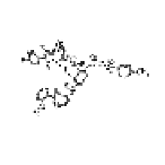 COc1ccccc1-c1nccc(COc2ccc(CC[C@H](O)COS(=O)(=O)c3ccc(C)cc3)cc2CC(Oc2ncnc3sc(-c4ccc(F)cc4)c(Br)c23)C(=O)O)n1